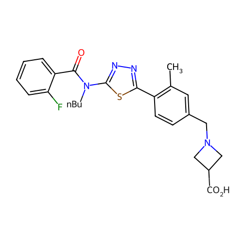 CCCCN(C(=O)c1ccccc1F)c1nnc(-c2ccc(CN3CC(C(=O)O)C3)cc2C)s1